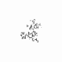 Cc1cc(-c2cnccn2)nc2c(C(=O)NC(C)(C)C3CC3)ncn12